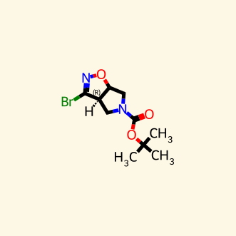 CC(C)(C)OC(=O)N1CC2ON=C(Br)[C@@H]2C1